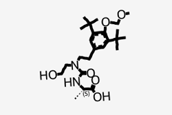 COCOc1c(C(C)(C)C)cc(CCN(CCO)C(=O)N[C@@H](C)C(=O)O)cc1C(C)(C)C